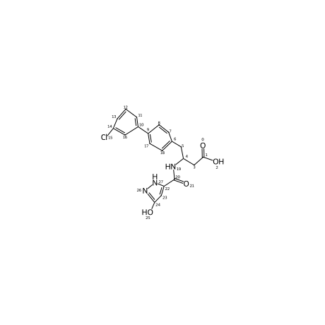 O=C(O)CC(Cc1ccc(-c2cccc(Cl)c2)cc1)NC(=O)c1cc(O)n[nH]1